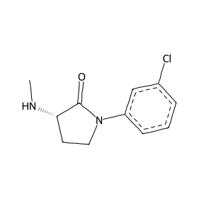 CN[C@H]1CCN(c2cccc(Cl)c2)C1=O